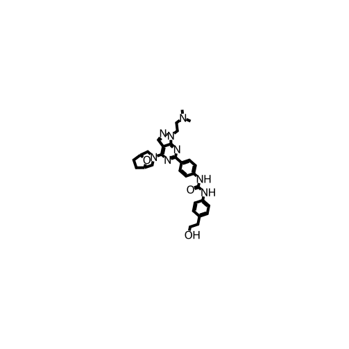 CN(C)CCn1ncc2c(N3CC4CCC(C3)O4)nc(-c3ccc(NC(=O)Nc4ccc(CCO)cc4)cc3)nc21